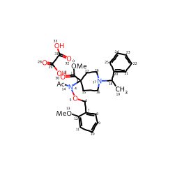 COC(=O)C1(N(OCc2ccccc2OC)C(C)=O)CCN(C(C)c2ccccc2)CC1.O=C(O)C(=O)O